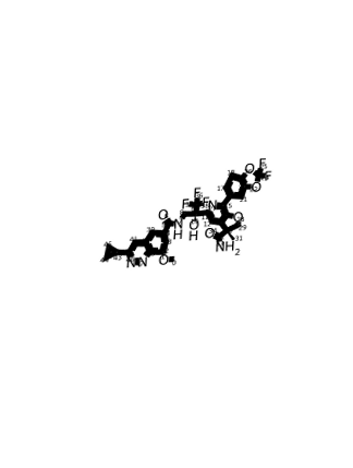 COc1cc(C(=O)NC[C@](O)(c2cc3c(c(-c4ccc5c(c4)OC(F)(F)O5)n2)OC[C@]3(C)C(N)=O)C(F)(F)F)cc2cc(C3CC3)nnc12